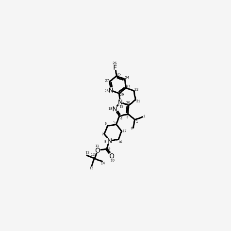 CC(C)c1c(C2CCN(C(=O)OC(C)(C)C)CC2)nn2c1CCc1cc(F)cnc1-2